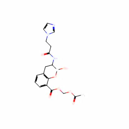 CC(C)(C)C(=O)OCOC(=O)c1cccc2c1OB(O)C(NC(=O)CCn1ccnc1)C2